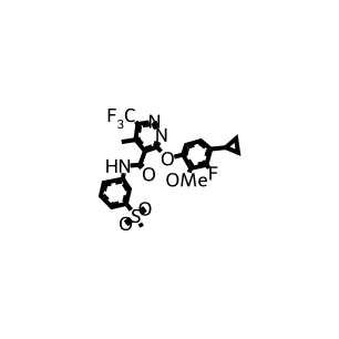 COc1c(Oc2nnc(C(F)(F)F)c(C)c2C(=O)Nc2cccc(S(C)(=O)=O)c2)ccc(C2CC2)c1F